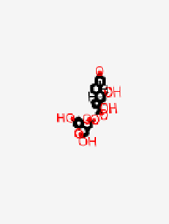 C[C@]12CCC(=O)C=C1CC[C@@H]1[C@@H]2C(O)C[C@@]2(C)[C@H]1CC[C@]2(O)C(=O)COC(=O)CC(CC(=O)O)c1ccc(O)cc1